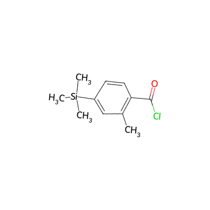 Cc1cc([Si](C)(C)C)ccc1C(=O)Cl